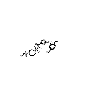 CCCS(=O)(=O)N1CCCN(S(=O)(=O)NC(=O)c2coc(Nc3cc(CC)ccc3CC)n2)CC1